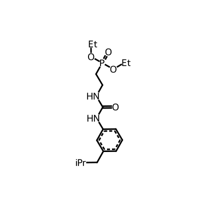 CCOP(=O)(CCNC(=O)Nc1cccc(CC(C)C)c1)OCC